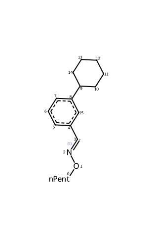 CCCCCO/N=[C]/c1cccc(C2CCCCC2)c1